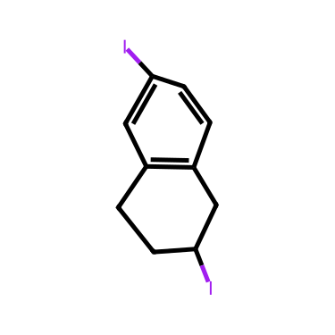 Ic1ccc2c(c1)CCC(I)C2